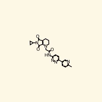 Cc1ccc(-c2ccc(NC(=O)CN3CCCC4=C3C(=O)N(C3CC3)C4=O)nn2)cn1